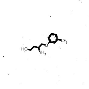 NC(CCO)COc1cccc(C(F)(F)F)c1